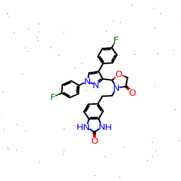 O=C1COC(c2nn(-c3ccc(F)cc3)cc2-c2ccc(F)cc2)N1CCc1ccc2[nH]c(=O)[nH]c2c1